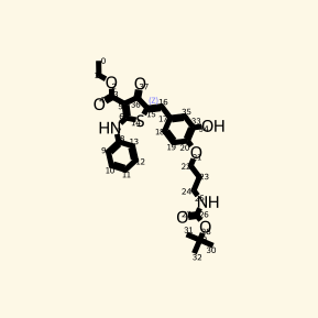 CCOC(=O)C1=C(Nc2ccccc2)S/C(=C\c2ccc(OCCCNC(=O)OC(C)(C)C)c(O)c2)C1=O